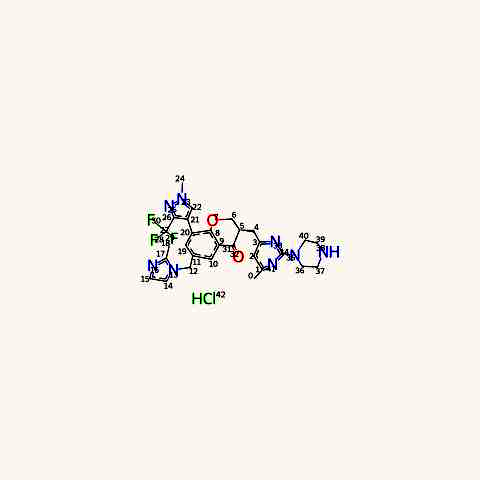 Cc1cc(C[C@@H]2COc3c(cc(Cn4ccnc4C)cc3-c3cn(C)nc3C(F)(F)F)C2=O)nc(N2CCNCC2)n1.Cl